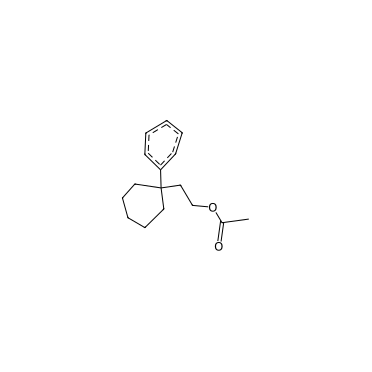 CC(=O)OCCC1(c2ccccc2)CCCCC1